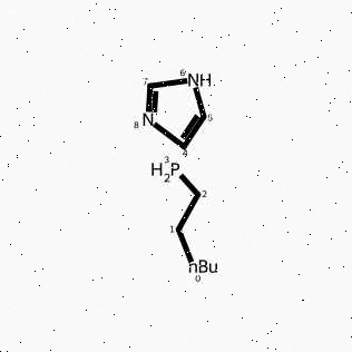 CCCCCCP.c1c[nH]cn1